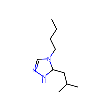 CCCCN1C=NNC1CC(C)C